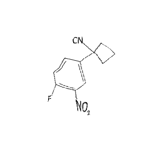 [C-]#[N+]C1(c2ccc(F)c([N+](=O)[O-])c2)CCC1